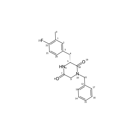 Cc1cc(C[C@H]2NC(=O)CN(Cc3ccccc3)C2=O)ccc1F